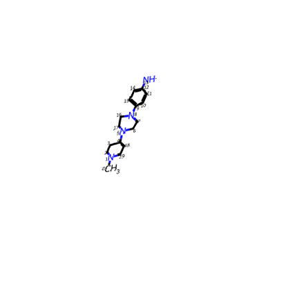 CN1CCC(N2CCN(c3ccc([NH])cc3)CC2)CC1